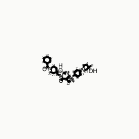 CC1(O)CCN(c2ccc(-n3ncc4c(=O)n(CC5(O)CCN(C(=O)C6CCCCC6)CC5)cnc43)cc2)C1